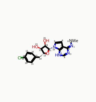 CN/N=c1/nc[nH]c2c1ccn2[C@@H]1O[C@H](Cc2ccc(Cl)cc2)[C@@H](O)[C@H]1O